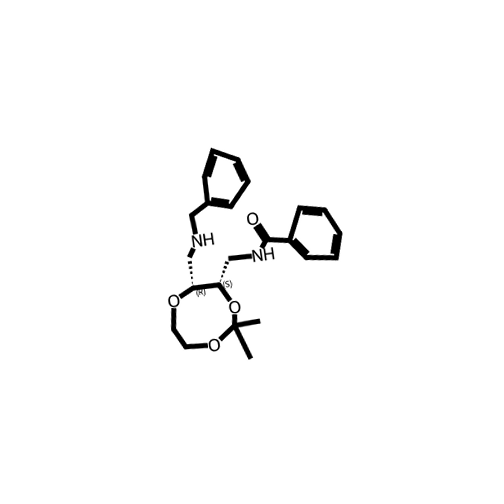 CC1(C)OCCO[C@H](CNCc2ccccc2)[C@H](CNC(=O)c2ccccc2)O1